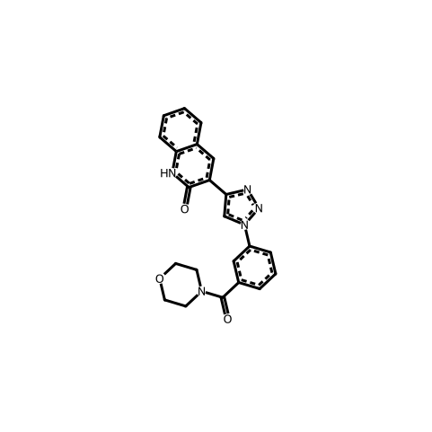 O=C(c1cccc(-n2cc(-c3cc4ccccc4[nH]c3=O)nn2)c1)N1CCOCC1